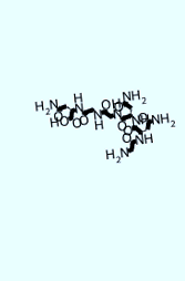 NCC(=O)N[C@@H](CC(N)=O)C(=O)N[C@@H](CC(N)=O)C(=O)NCC(=O)NCC(=O)N[C@@H](CC(N)=O)C(=O)O